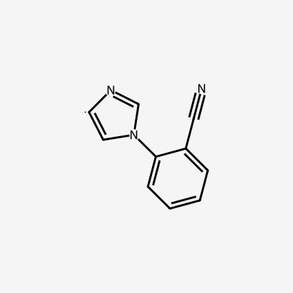 N#Cc1ccccc1-n1c[c]nc1